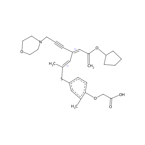 C=C(/C=C(C#CCN1CCOCC1)\C=C(/C)Sc1ccc(OCC(=O)O)c(C)c1)OC1CCCC1